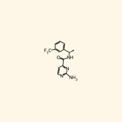 C[C@@H](NC(=O)c1ccnc(N)n1)c1cccc(C(F)(F)F)c1